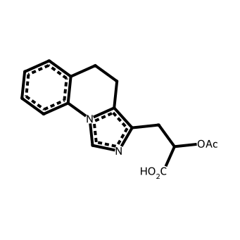 CC(=O)OC(Cc1ncn2c1CCc1ccccc1-2)C(=O)O